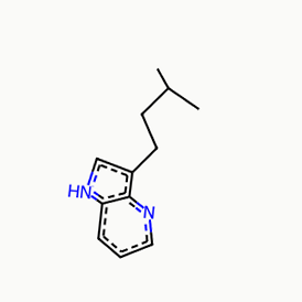 CC(C)CCc1c[nH]c2cccnc12